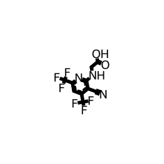 N#Cc1c(C(F)(F)F)cc(C(F)(F)F)nc1NCC(=O)O